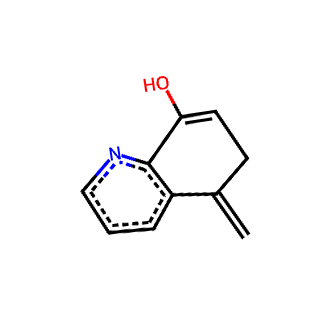 C=C1CC=C(O)c2ncccc21